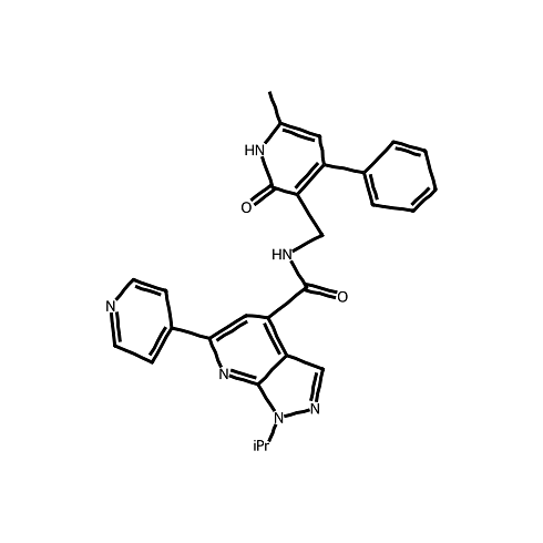 Cc1cc(-c2ccccc2)c(CNC(=O)c2cc(-c3ccncc3)nc3c2cnn3C(C)C)c(=O)[nH]1